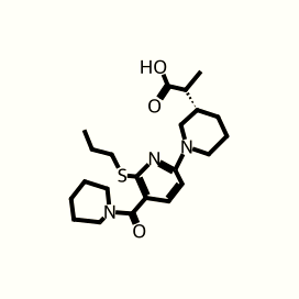 CCCSc1nc(N2CCC[C@@H](C(C)C(=O)O)C2)ccc1C(=O)N1CCCCC1